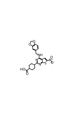 O=C(O)C1CCC(c2nc(NCc3ccc4c(c3)OCO4)c3cc([N+](=O)[O-])sc3n2)CC1